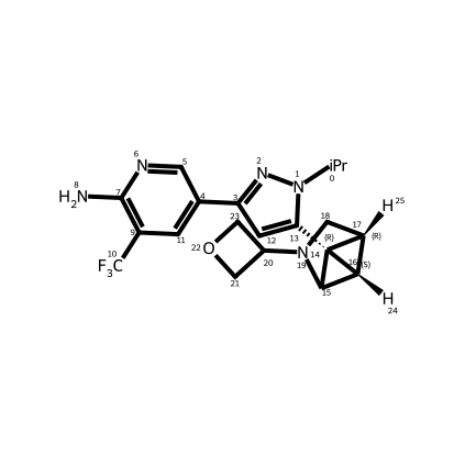 CC(C)n1nc(-c2cnc(N)c(C(F)(F)F)c2)cc1[C@@]12C3[C@H]1[C@H]2CN3C1COC1